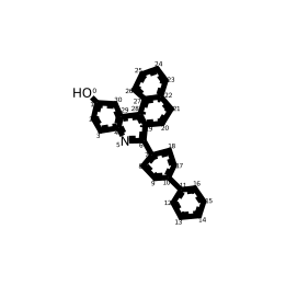 Oc1ccc2nc(-c3ccc(-c4ccccc4)cc3)c3ccc4ccccc4c3c2c1